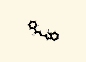 O=C(/C=C/c1cc2ccccc2[nH]1)c1ccccc1